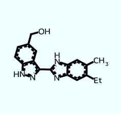 CCc1cc2nc(-c3n[nH]c4ccc(CO)cc34)[nH]c2cc1C